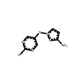 Nc1ccn(Oc2cnc(Cl)nc2)n1